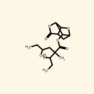 CCC(C)CC(C)(C(=O)OC1C2CC3C(=O)OC1C3O2)C(C)CC